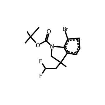 CC(C)(C)OC(=O)N1CC(C)(CC(F)F)c2cccc(Br)c21